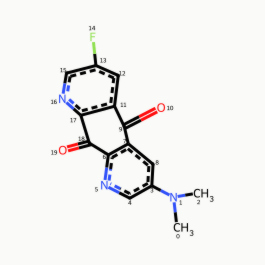 CN(C)c1cnc2c(c1)C(=O)c1cc(F)cnc1C2=O